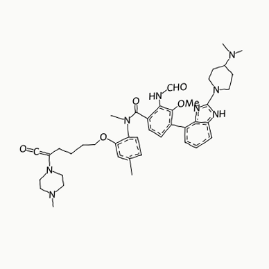 COc1c(-c2cccc3[nH]c(N4CCC(N(C)C)CC4)nc23)ccc(C(=O)N(C)c2ccc(C)cc2OCCCCC(=C=O)N2CCN(C)CC2)c1NC=O